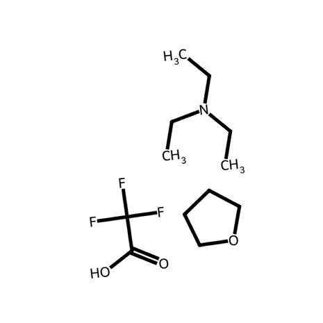 C1CCOC1.CCN(CC)CC.O=C(O)C(F)(F)F